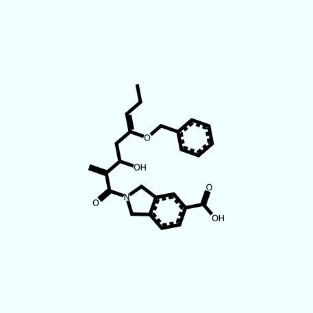 C=C(C(=O)N1Cc2ccc(C(=O)O)cc2C1)C(O)C/C(=C/CC)OCc1ccccc1